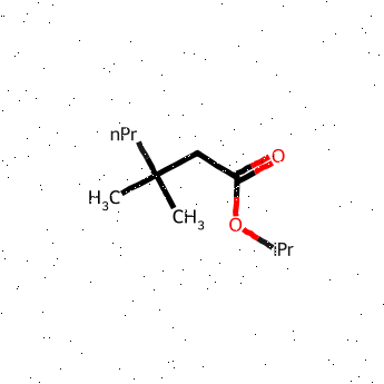 CCCC(C)(C)CC(=O)OC(C)C